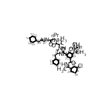 CC(C)[C@H](NC(=O)[C@H](C)NC[C@H](Cc1ccccc1)NC(=O)c1cc(C(=O)N[C@H](C)c2cccc(Cl)c2)cc(N(C)S(C)(=O)=O)c1)C(=O)NCCCc1ccccc1